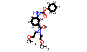 COCCN(CCOC)C(=O)c1cccc(NC(=O)Oc2ccccc2)c1